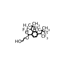 CCC(C)(C)C(c1ccc(C(=O)OCCO)c(C(C(F)(F)F)C(C)(C)CC)c1)C(F)(F)F